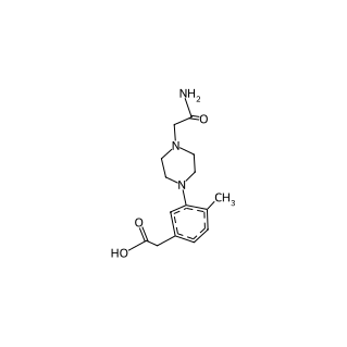 Cc1ccc(CC(=O)O)cc1N1CCN(CC(N)=O)CC1